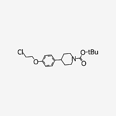 CC(C)(C)OC(=O)N1CCC(c2ccc(OCCCl)cc2)CC1